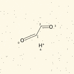 O=[C]C=O.[H+]